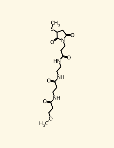 COCCC(=O)NCCC(=O)NCCNC(=O)CCN1C(=O)CC(SC)C1=O